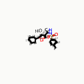 Cc1ccc(S(=O)(=O)NC(C(=O)O)c2coc(C3C=CCCC3)c2)cc1